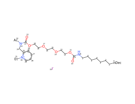 CCCCCCCCCCCCCCCCCNC(=O)OCCOCCOCCOC(=O)N(Cc1cccc[n+]1CC)C(C)=O.[I-]